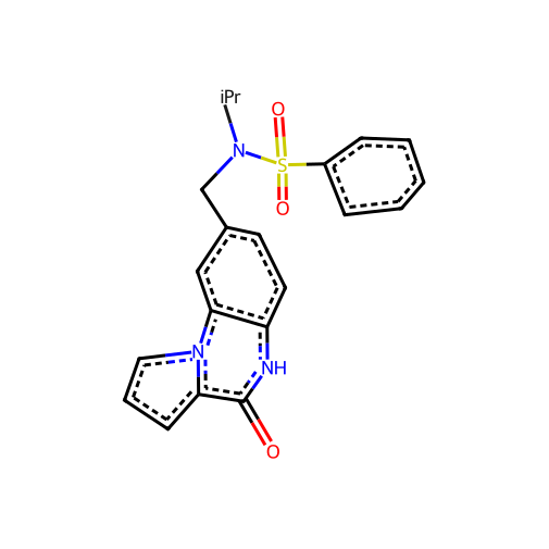 CC(C)N(Cc1ccc2[nH]c(=O)c3cccn3c2c1)S(=O)(=O)c1ccccc1